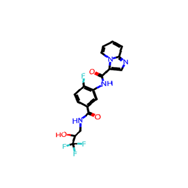 O=C(NCC(O)C(F)(F)F)c1ccc(F)c(NC(=O)c2cnc3ccccn23)c1